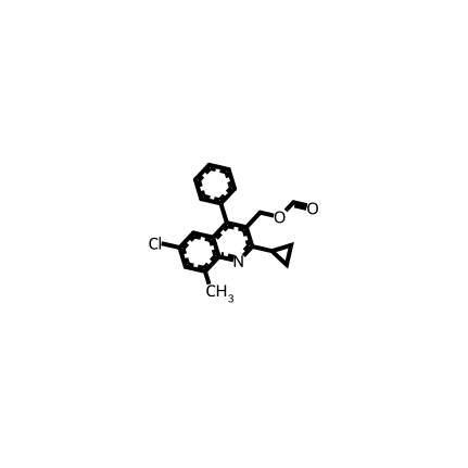 Cc1cc(Cl)cc2c(-c3ccccc3)c(COC=O)c(C3CC3)nc12